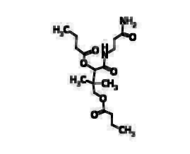 CCCC(=O)OCC(C)(C)C(OC(=O)CCC)C(=O)NCCC(N)=O